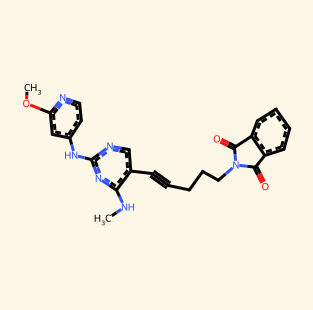 CNc1nc(Nc2ccnc(OC)c2)ncc1C#CCCCN1C(=O)c2ccccc2C1=O